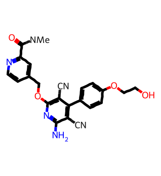 CNC(=O)c1cc(COc2nc(N)c(C#N)c(-c3ccc(OCCO)cc3)c2C#N)ccn1